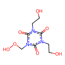 O=c1n(CCO)c(=O)n(COO)c(=O)n1CCO